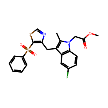 COC(=O)Cn1c(C)c(Cc2ncsc2S(=O)(=O)c2ccccc2)c2cc(F)ccc21